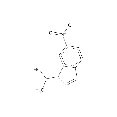 CC(O)C1C=Cc2ccc([N+](=O)[O-])cc21